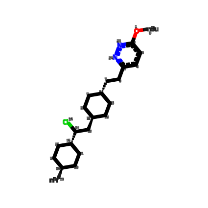 CCCCOc1ccc(CC[C@H]2CC[C@H](CC(Cl)[C@H]3CC[C@H](CCC)CC3)CC2)nn1